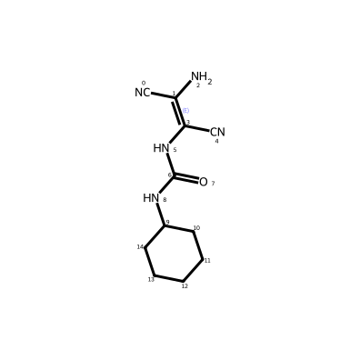 N#C/C(N)=C(/C#N)NC(=O)NC1CCCCC1